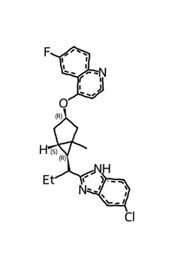 CCC(c1nc2cc(Cl)ccc2[nH]1)[C@H]1[C@@H]2C[C@@H](Oc3ccnc4ccc(F)cc34)CC21C